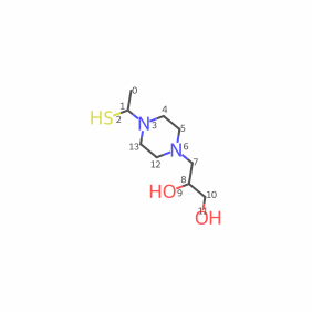 CC(S)N1CCN(CC(O)CO)CC1